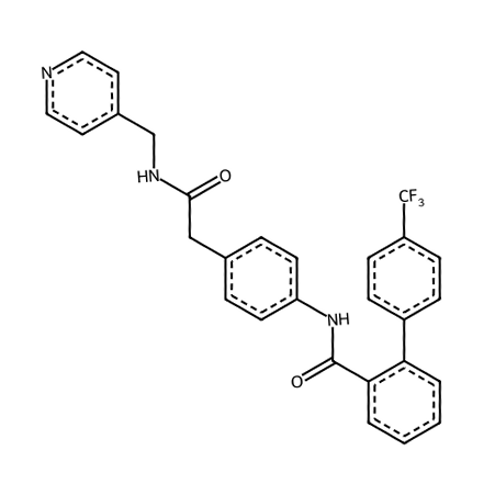 O=C(Cc1ccc(NC(=O)c2ccccc2-c2ccc(C(F)(F)F)cc2)cc1)NCc1ccncc1